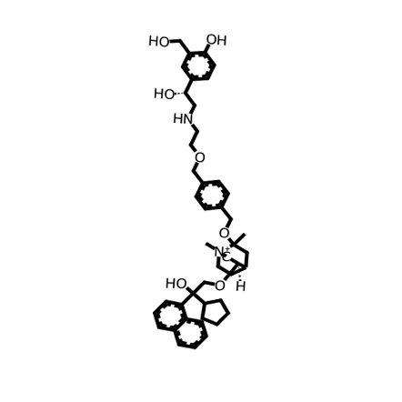 CC1(OCc2ccc(COCCNC[C@H](O)c3ccc(O)c(CO)c3)cc2)CC2CC[N+]1(C)C[C@@H]2OCC(O)(c1cccc2ccccc12)C1CCCC1